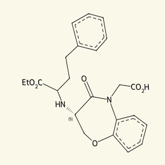 CCOC(=O)C(CCc1ccccc1)N[C@H]1COc2ccccc2N(CC(=O)O)C1=O